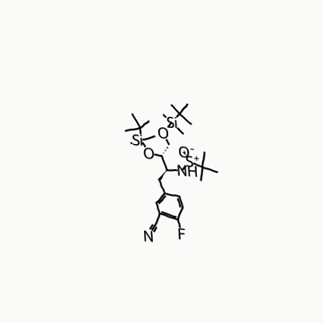 CC(C)(C)[S@+]([O-])N[C@@H](Cc1ccc(F)c(C#N)c1)[C@@H](CO[Si](C)(C)C(C)(C)C)O[Si](C)(C)C(C)(C)C